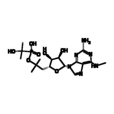 CNc1nc(N)nc2c1ncn2[C@@H]1O[C@H](CC(C)(C)OP(=O)(O)C(C)(C)O)[C@@H](O)[C@H]1O